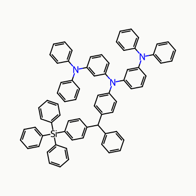 c1ccc(C(c2ccc(N(c3cccc(N(c4ccccc4)c4ccccc4)c3)c3cccc(N(c4ccccc4)c4ccccc4)c3)cc2)c2ccc([Si](c3ccccc3)(c3ccccc3)c3ccccc3)cc2)cc1